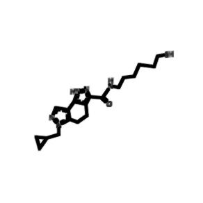 O=C(NCCCCCCS)c1n[nH]c2c1CCc1c-2cnn1CC1CC1